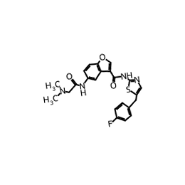 CN(C)CC(=O)Nc1ccc2occ(C(=O)Nc3ncc(Cc4ccc(F)cc4)s3)c2c1